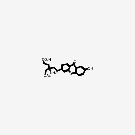 CC(=O)NC(CCC(=O)O)(CCc1ccc2c(=O)c3cc(O)ccc3sc2c1)COC(C)=O